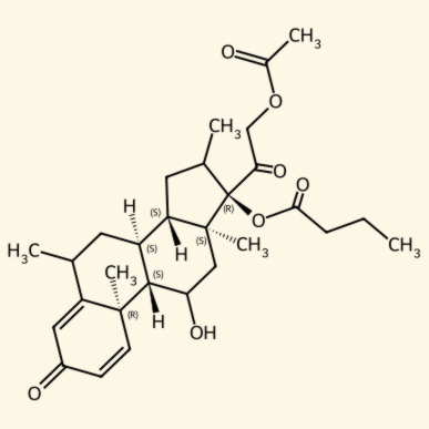 CCCC(=O)O[C@]1(C(=O)COC(C)=O)C(C)C[C@H]2[C@@H]3CC(C)C4=CC(=O)C=C[C@]4(C)[C@H]3C(O)C[C@@]21C